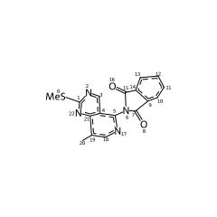 CSc1ncc2c(N3C(=O)c4ccccc4C3=O)ncc(C)c2n1